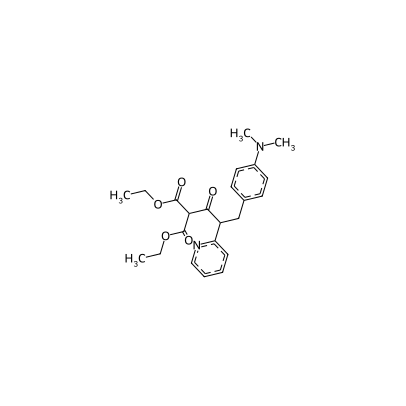 CCOC(=O)C(C(=O)OCC)C(=O)C(Cc1ccc(N(C)C)cc1)c1ccccn1